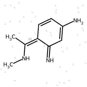 CN/C(C)=C1/C=CC(N)=CC1=N